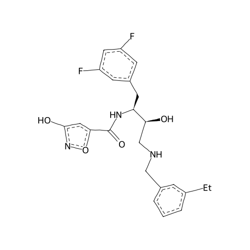 CCc1cccc(CNC[C@H](O)[C@H](Cc2cc(F)cc(F)c2)NC(=O)c2cc(O)no2)c1